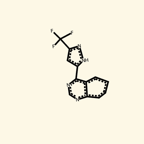 FC(F)(F)c1cc(-c2ncnc3ccccc23)[nH]n1